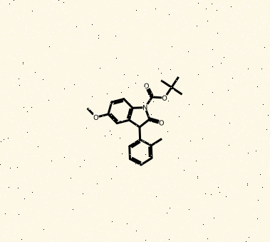 COc1ccc2c(c1)C(c1ccccc1C)C(=O)N2C(=O)OC(C)(C)C